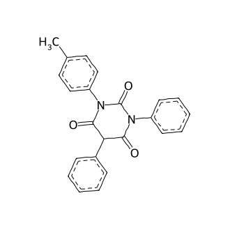 Cc1ccc(N2C(=O)C(c3ccccc3)C(=O)N(c3ccccc3)C2=O)cc1